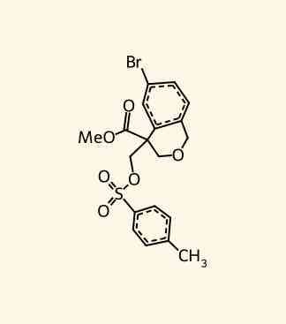 COC(=O)C1(COS(=O)(=O)c2ccc(C)cc2)COCc2ccc(Br)cc21